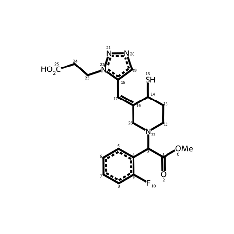 COC(=O)C(c1ccccc1F)N1CCC(S)/C(=C\c2cnnn2CCC(=O)O)C1